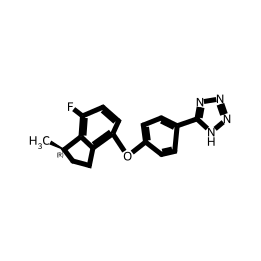 C[C@@H]1CCc2c(Oc3ccc(-c4nnn[nH]4)cc3)ccc(F)c21